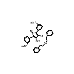 CCCCCCCCc1cccc(C2=C(CC)C(CCCC)=C(c3cccc(CCCCCCCC)c3)[N+]2=[N-])c1.c1ccc(C[CH2][Ni][CH2]Cc2ccccc2)cc1